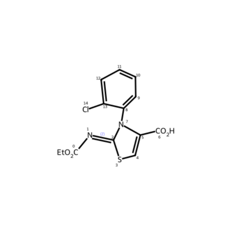 CCOC(=O)/N=c1\scc(C(=O)O)n1-c1ccccc1Cl